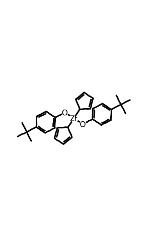 CC(C)(C)c1ccc([O][Zr]([O]c2ccc(C(C)(C)C)cc2)([CH]2C=CC=C2)[CH]2C=CC=C2)cc1